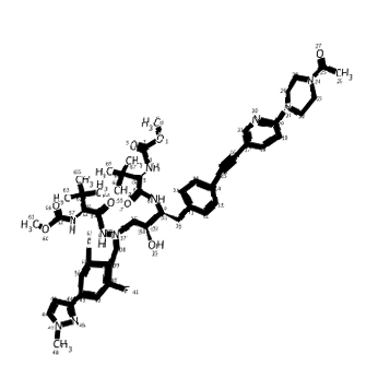 COC(=O)N[C@H](C(=O)N[C@@H](Cc1ccc(C#Cc2ccc(N3CCN(C(C)=O)CC3)nc2)cc1)[C@@H](O)CN(Cc1c(F)cc(-c2ccn(C)n2)cc1F)NC(=O)[C@@H](NC(=O)OC)C(C)(C)C)C(C)(C)C